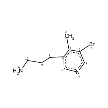 Cc1c(Br)cncc1CCCN